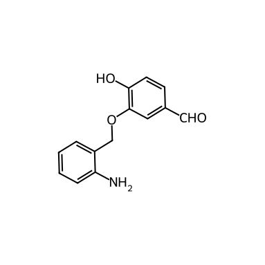 Nc1ccccc1COc1cc(C=O)ccc1O